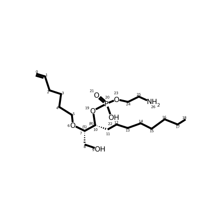 C=CCCCCO[C@@H](CO)[C@@H](CCCCCCCC)OP(=O)(O)OCCN